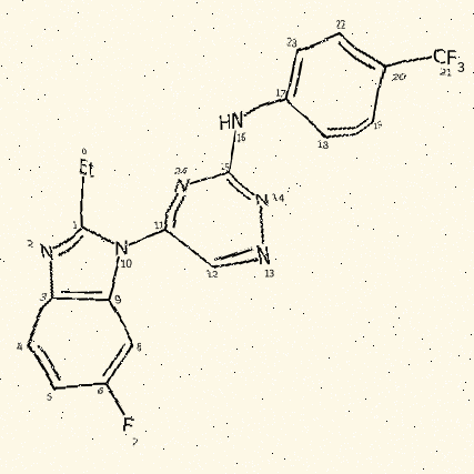 CCc1nc2ccc(F)cc2n1-c1cnnc(Nc2ccc(C(F)(F)F)cc2)n1